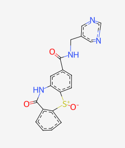 O=C(NCc1cncnc1)c1ccc2c(c1)NC(=O)c1ccccc1[S+]2[O-]